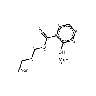 CCCCCCCCCCCCOC(=O)c1ccccc1O.[MgH2]